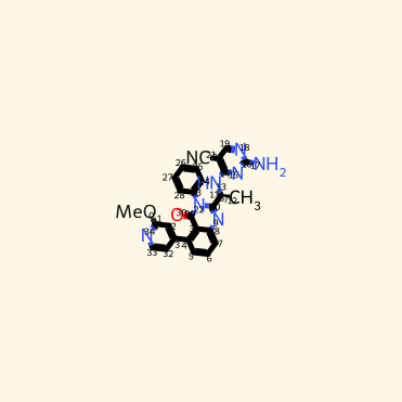 COc1cc(-c2cccc3nc([C@H](C)Nc4nc(N)ncc4C#N)n(-c4ccccc4)c(=O)c23)ccn1